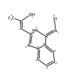 CC/N=c1\[nH]c(/C=C(\O)C(F)(F)F)nc2ccccc12